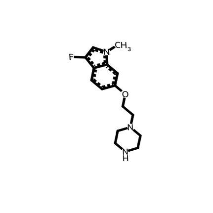 Cn1cc(F)c2ccc(OCCN3CCNCC3)cc21